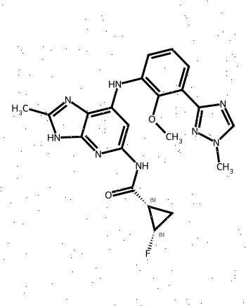 COc1c(Nc2cc(NC(=O)[C@@H]3C[C@@H]3F)nc3[nH]c(C)nc23)cccc1-c1ncn(C)n1